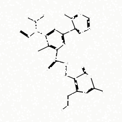 C=CN(c1cc(-c2cccnc2C)cc(C(=C)NCc2c(CCC)cc(C)[nH]c2=O)c1C)C(C)C